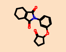 O=C1CCCC1Oc1cccc(N2C(=O)C3=C(CCCC3)C2=O)c1